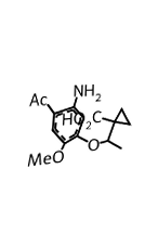 COc1cc(C(C)=O)c(N)cc1OC(C)C1(C(=O)O)CC1